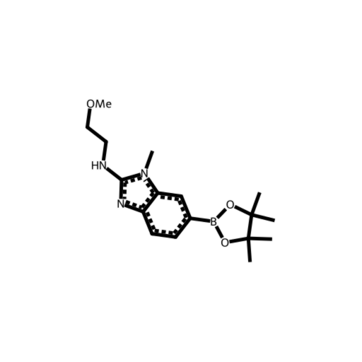 COCCNc1nc2ccc(B3OC(C)(C)C(C)(C)O3)cc2n1C